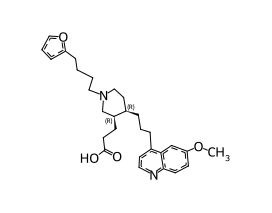 COc1ccc2nccc(CCC[C@@H]3CCN(CCCCc4ccco4)C[C@@H]3CCC(=O)O)c2c1